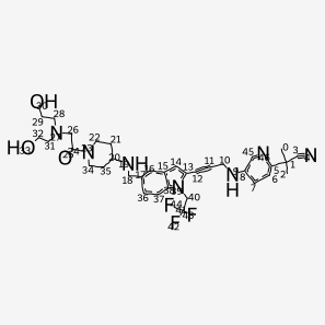 CC(C)(C#N)c1ccc(NCC#Cc2cc3cc(CNC4CCN(C(=O)CN(CCO)CCO)CC4)ccc3n2CC(F)(F)F)cn1